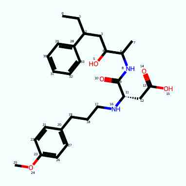 CCC(CC(O)C(C)NC(=O)[C@H](CC(=O)O)NCCCc1ccc(OC)cc1)c1ccccc1